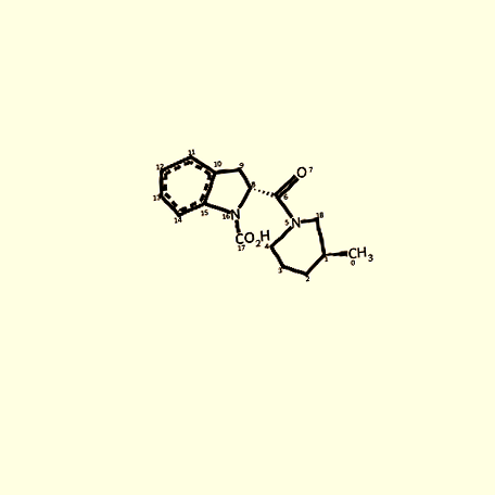 C[C@H]1CCCN(C(=O)[C@H]2Cc3ccccc3N2C(=O)O)C1